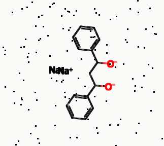 [Na+].[Na+].[O-]C(CC([O-])c1ccccc1)c1ccccc1